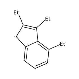 CCC1=C(CC)c2c(cccc2CC)[CH]1